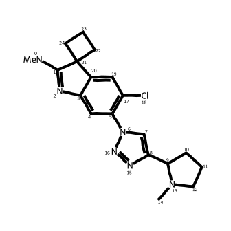 CNC1=Nc2cc(-n3cc(C4CCCN4C)nn3)c(Cl)cc2C12CCC2